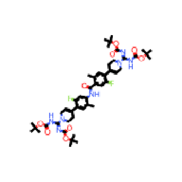 Cc1cc(C2=CCN(/C(=N\C(=O)OC(C)(C)C)NC(=O)OC(C)(C)C)CC2)c(F)cc1NC(=O)c1cc(F)c(C2=CCN(/C(=N\C(=O)OC(C)(C)C)NC(=O)OC(C)(C)C)CC2)cc1C